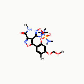 CCNC(=O)c1noc(-c2cc(C(C)C)c(OCOCC)cc2OP(=O)(N(C)C)N(C)C)c1-c1noc(C)n1